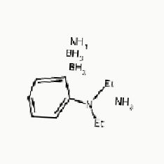 B.B.CCN(CC)c1ccccc1.N.N